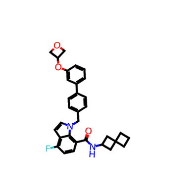 O=C(NC1CC2(CCC2)C1)c1ccc(F)c2ccn(Cc3ccc(-c4cccc(OC5COC5)c4)cc3)c12